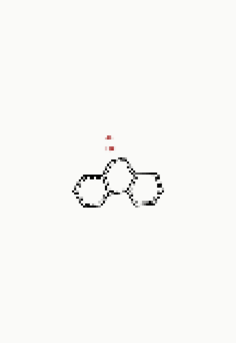 Br.Br.c1ccc2c(c1)ccc1ccccc12